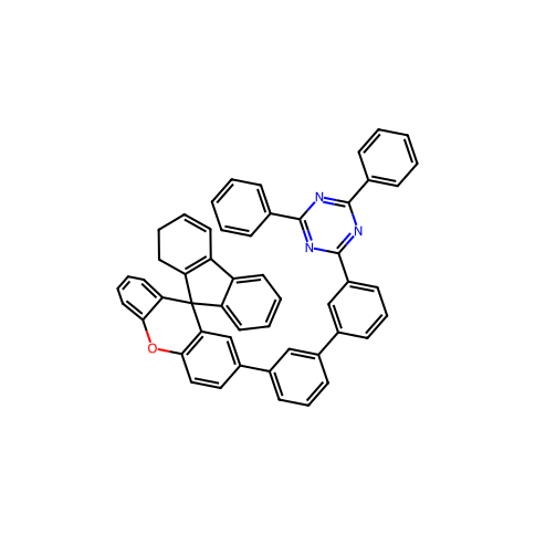 C1=CC2=C(CC1)C1(c3ccccc3Oc3ccc(-c4cccc(-c5cccc(-c6nc(-c7ccccc7)nc(-c7ccccc7)n6)c5)c4)cc31)c1ccccc12